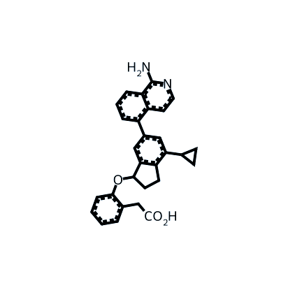 Nc1nccc2c(-c3cc(C4CC4)c4c(c3)C(Oc3ccccc3CC(=O)O)CC4)cccc12